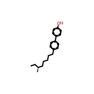 CC[C@H](C)CCCCCc1ccc(-c2ccc(O)cc2)cc1